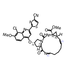 COC(=O)[C@@]12C[C@@H]1/C=C\CCC/C=N/C(=O)[C@@H]1C[C@H](Oc3cc(-c4nc(C#N)cs4)nc4c(Cl)c(OC)ccc34)CN1C(=O)N2